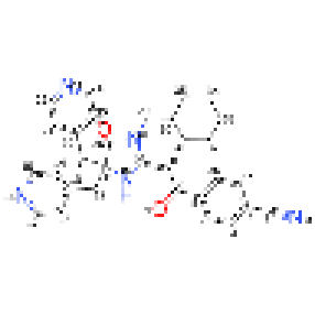 N#Cc1ccc(C(=O)C=C2NC(Cc3ccncc3)(Cc3ccncc3)C(=O)N2CC2CCCCC2)cc1